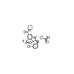 CCN(CC)[C@H]1C[C@H](CN2C(=O)C(O)(c3c(F)cccc3Cl)c3c2cc(C(=O)N2CCCCC2)cc3C(F)(F)F)C1